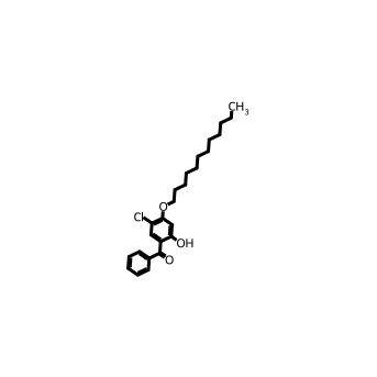 CCCCCCCCCCCCOc1cc(O)c(C(=O)c2ccccc2)cc1Cl